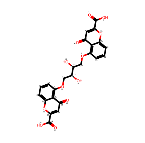 O=C(O)c1cc(=O)c2c(OC[C@H](O)[C@@H](O)COc3cccc4oc(C(=O)O)cc(=O)c34)cccc2o1